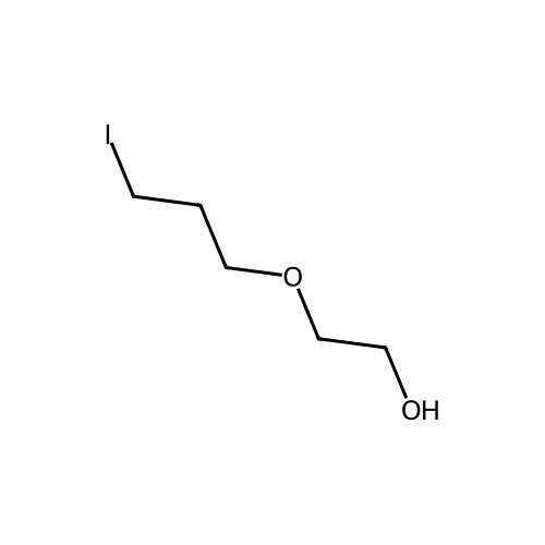 OCCOCCCI